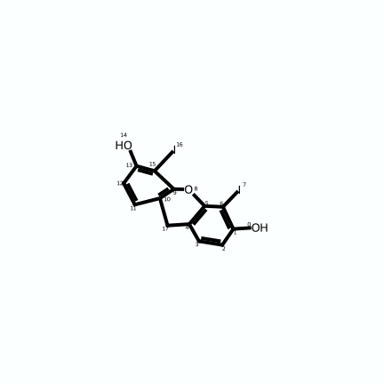 Oc1ccc2c(c1I)Oc1c(ccc(O)c1I)C2